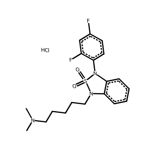 CN(C)CCCCCN1c2ccccc2N(c2ccc(F)cc2F)S1(=O)=O.Cl